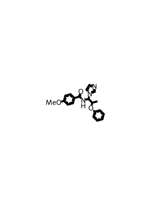 COc1ccc(C(=O)NC(C(C)Oc2ccccc2)n2ccnc2)cc1